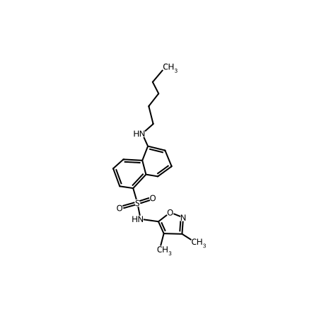 CCCCCNc1cccc2c(S(=O)(=O)Nc3onc(C)c3C)cccc12